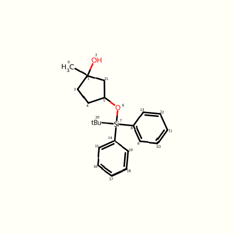 CC1(O)CCC(O[Si](c2ccccc2)(c2ccccc2)C(C)(C)C)C1